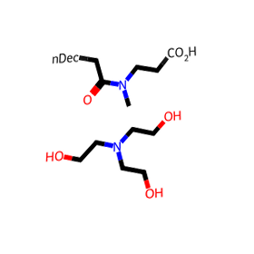 CCCCCCCCCCCC(=O)N(C)CCC(=O)O.OCCN(CCO)CCO